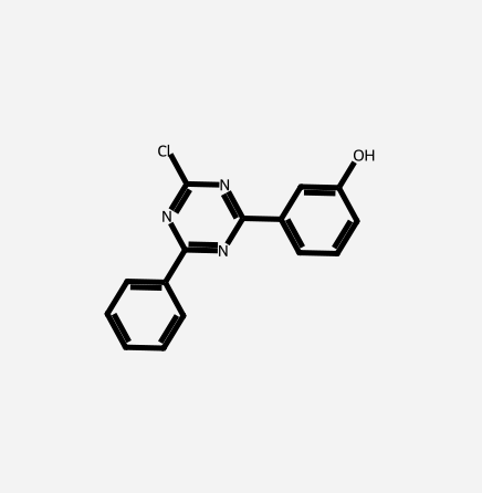 Oc1cccc(-c2nc(Cl)nc(-c3ccccc3)n2)c1